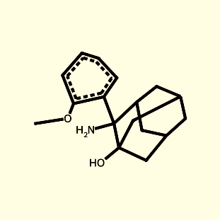 COc1ccccc1C1(N)C2CC3CC(C2)CC1(O)C3